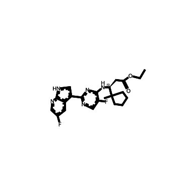 CCOC(=O)C[C@H](Nc1nc(-c2c[nH]c3ncc(F)cc23)ncc1F)C1(C)CCCC1